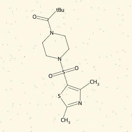 Cc1nc(C)c(S(=O)(=O)N2CCN(C(=O)C(C)(C)C)CC2)s1